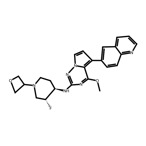 COc1nc(N[C@@H]2CCN(C3COC3)C[C@H]2F)nn2ccc(-c3ccc4ncccc4c3)c12